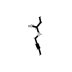 CC#CCOC(O)CC